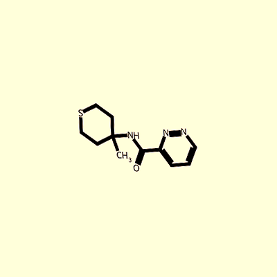 CC1(NC(=O)c2cccnn2)CCSCC1